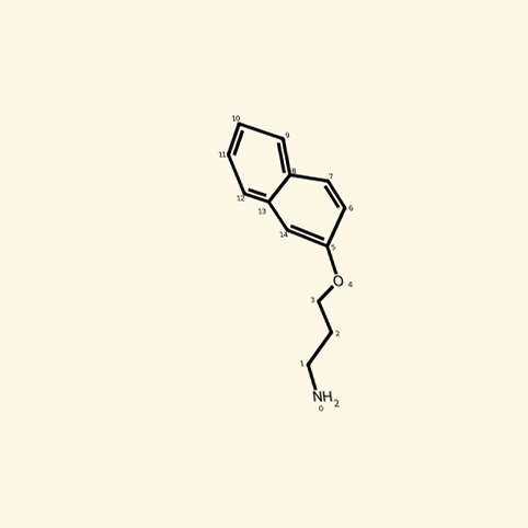 NCCCOc1ccc2ccccc2c1